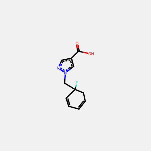 O=C(O)c1cnn(CC2(F)C=CC=CC2)c1